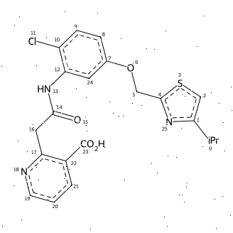 CC(C)c1csc(COc2ccc(Cl)c(NC(=O)Cc3ncccc3C(=O)O)c2)n1